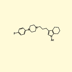 CC(=O)n1cc(CCCN2CCN(c3ccc(F)cc3)CC2)c2c1CCCC2